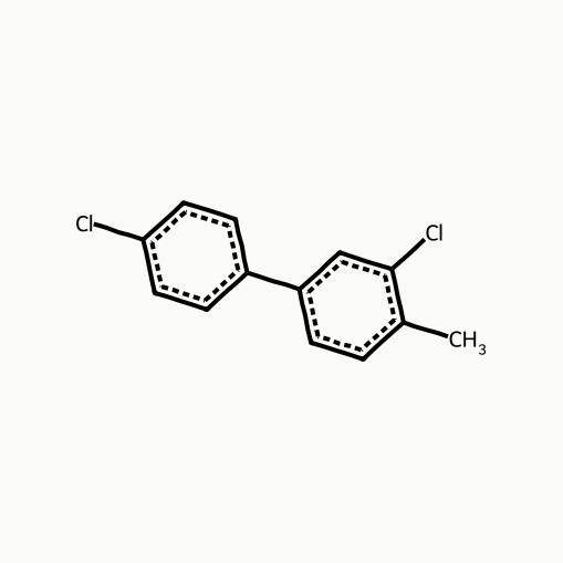 Cc1ccc(-c2ccc(Cl)cc2)cc1Cl